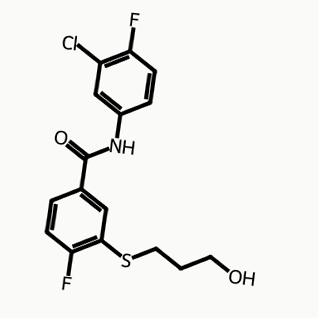 O=C(Nc1ccc(F)c(Cl)c1)c1ccc(F)c(SCCCO)c1